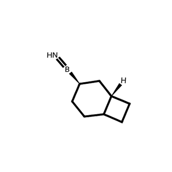 N=B[C@@H]1CCC2CC[C@H]2C1